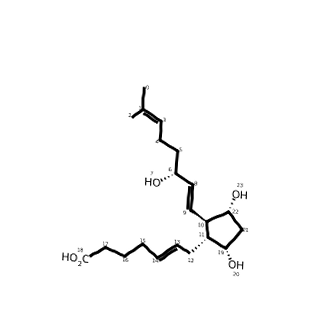 CC(C)=CCC[C@@H](O)C=C[C@@H]1[C@@H](CC=CCCCC(=O)O)[C@@H](O)C[C@H]1O